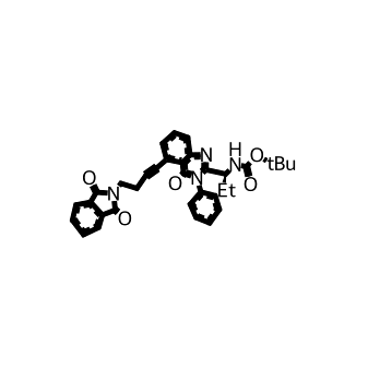 CC[C@H](NC(=O)OC(C)(C)C)c1nc2cccc(C#CCCN3C(=O)c4ccccc4C3=O)c2c(=O)n1-c1ccccc1